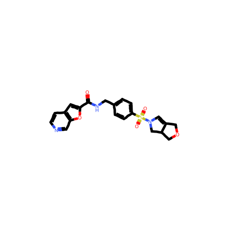 O=C(NCc1ccc(S(=O)(=O)N2C=C3COCC3C2)cc1)c1cc2ccncc2o1